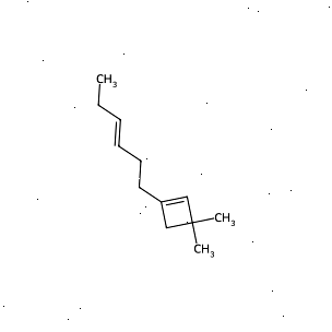 CCC=CCCC1=CC(C)(C)C1